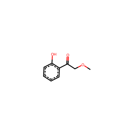 COCC(=O)c1ccccc1O